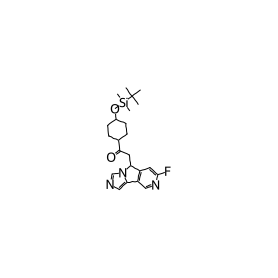 CC(C)(C)[Si](C)(C)OC1CCC(C(=O)CC2c3cc(F)ncc3-c3cncn32)CC1